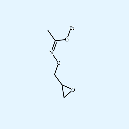 CCOC(C)=NOCC1CO1